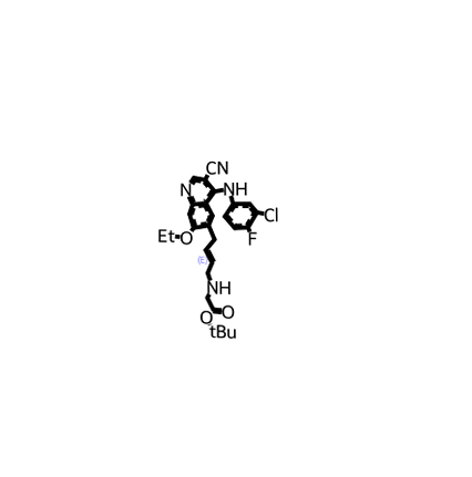 CCOc1cc2ncc(C#N)c(Nc3ccc(F)c(Cl)c3)c2cc1C/C=C/CNCC(=O)OC(C)(C)C